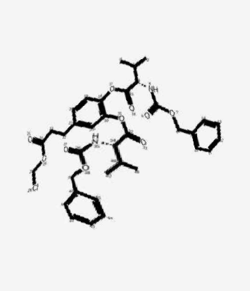 CC(C)[C@H](NC(=O)OCc1ccccc1)C(=O)Oc1ccc(CCC(=O)OCCl)cc1OC(=O)[C@@H](NC(=O)OCc1ccccc1)C(C)C